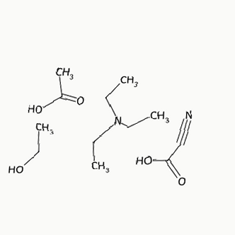 CC(=O)O.CCN(CC)CC.CCO.N#CC(=O)O